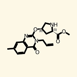 C=CCn1c(O[C@H]2CN[C@H](C(=O)OC)C2)nc2cc(C)ccc2c1=O